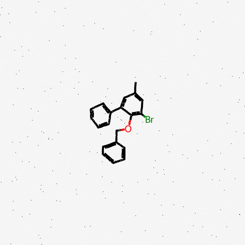 Cc1cc(Br)c(OCc2ccccc2)c(-c2ccccc2)c1